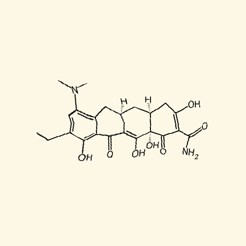 CCc1cc(N(C)C)c2c(c1O)C(=O)C1=C(O)[C@]3(O)C(=O)C(C(N)=O)=C(O)C[C@@H]3C[C@@H]1C2